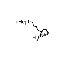 CCCCCCCCCCCc1cccc[n+]1C